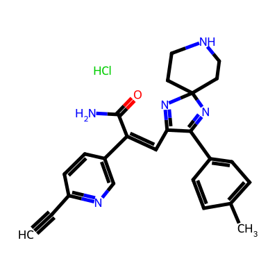 C#Cc1ccc(C(=CC2=NC3(CCNCC3)N=C2c2ccc(C)cc2)C(N)=O)cn1.Cl